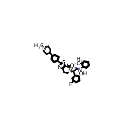 C/C(=N\c1ccccc1C)C(c1cc(F)ccc1O)N1CCc2nc(-c3ccc(C4CCN(C)CC4)cc3)sc2C1=O